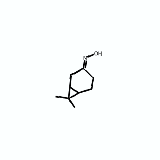 CC1(C)C2CCC(=NO)CC21